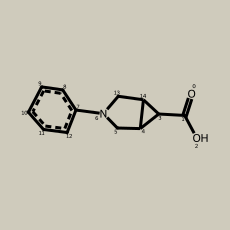 O=C(O)C1C2CN(c3ccccc3)CC21